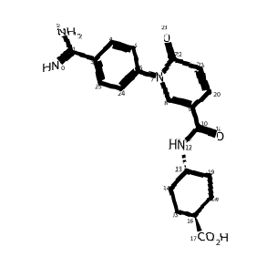 N=C(N)c1ccc(-n2cc(C(=O)N[C@H]3CC[C@H](C(=O)O)CC3)ccc2=O)cc1